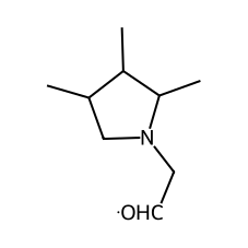 CC1CN(C[C]=O)C(C)C1C